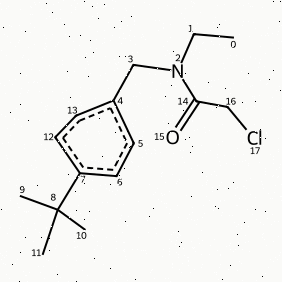 CCN(Cc1ccc(C(C)(C)C)cc1)C(=O)CCl